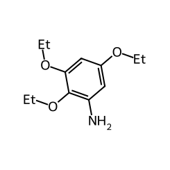 CCOc1cc(N)c(OCC)c(OCC)c1